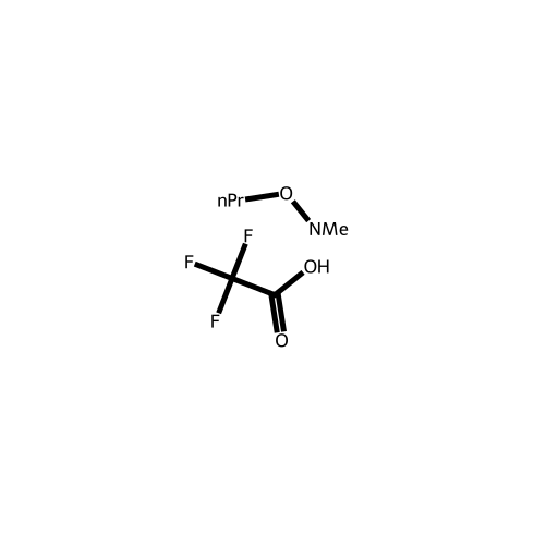 CCCONC.O=C(O)C(F)(F)F